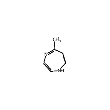 CC1=NC=CNCC1